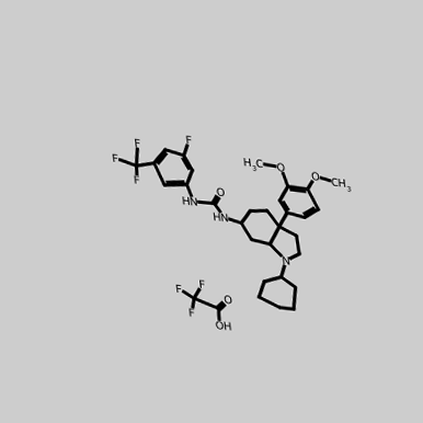 COc1ccc(C23CCC(NC(=O)Nc4cc(F)cc(C(F)(F)F)c4)CC2N(C2CCCCC2)CC3)cc1OC.O=C(O)C(F)(F)F